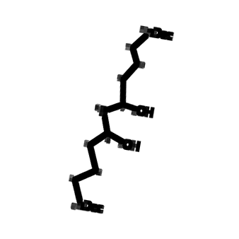 CCCCCCCCCCCCCC(O)[B]C(O)CCCCCCCCCCCCC